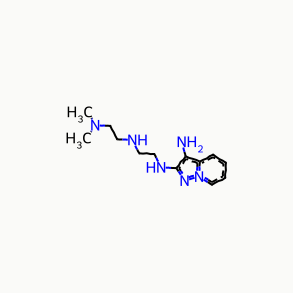 CN(C)CCNCCNc1nn2ccccc2c1N